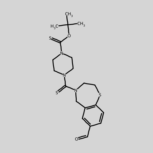 CC(C)(C)OC(=S)N1CCN(C(=S)N2CCSc3ccc(C=O)cc3C2)CC1